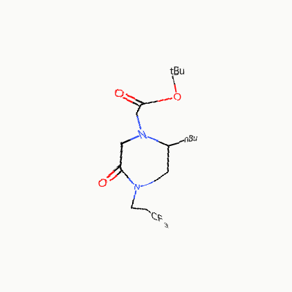 CCCCC1CN(CC(F)(F)F)C(=O)CN1C(=O)OC(C)(C)C